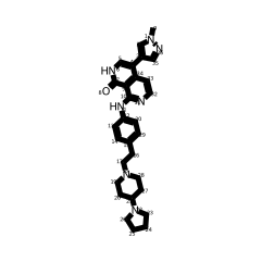 Cn1cc(-c2c[nH]c(=O)c3c(Nc4ccc(CCN5CCC(N6CCCC6)CC5)cc4)nccc23)cn1